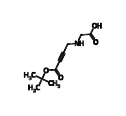 CC(C)(C)OC(=O)C#CCNCC(=O)O